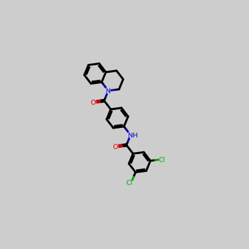 O=C(Nc1ccc(C(=O)N2CCCc3ccccc32)cc1)c1cc(Cl)cc(Cl)c1